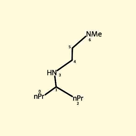 CCCC(CCC)NCCNC